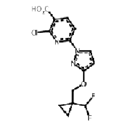 O=C(O)c1ccc(-n2ccc(OCC3(C(F)F)CC3)n2)nc1Cl